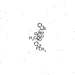 C[C@H]1[C@@H](c2cccc(C(C)(F)F)c2)OC(=O)N1C(=O)NCc1cncc2ccccc12